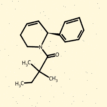 CCC(C)(C)C(=O)N1CCC=C[C@H]1c1ccccc1